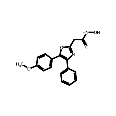 COc1ccc(-c2oc(CC(=O)NO)nc2-c2ccccc2)cc1